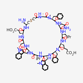 CC(C)C[C@@H]1NC(=O)[C@H](CC(N)=O)NC(=O)[C@H](Cc2ccccc2)N(C)C(=O)[C@@H](C)NC(=O)CSCC(CN)NC(=O)[C@H](CCC(=O)O)NC(=O)[C@H]([C@@H](C)O)NC(=O)[C@H](Cc2cn(C)c3ccccc23)NC(=O)[C@H](C(C)C)NC(=O)[C@H](Cc2cn(C)c3ccccc23)NC(=O)[C@H](Cc2ccccc2)N(C)C(=O)[C@H](CCCC(=O)O)NC1=O